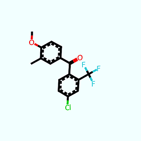 COc1ccc(C(=O)c2ccc(Cl)cc2C(F)(F)F)cc1C